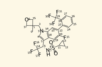 CC1(Cn2cc([C@H](NS(=O)(=O)C3CC3)C(F)(F)F)c3cc(F)c(-c4ccccc4C(F)(F)F)cc32)COC1